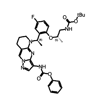 C[C@H](c1cc(F)ccc1O[C@@H](C)CNC(=O)OC(C)(C)C)N1CCCc2cn3ncc(NC(=O)Oc4ccccc4)c3nc21